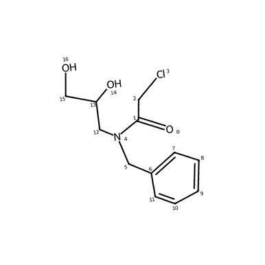 O=C(CCl)N(Cc1ccccc1)CC(O)CO